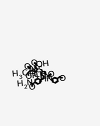 C[C@@H](O)[C@H]1C(=O)N2C(C(=O)O)=C(S[C@H]3C[C@@H](C(=O)Nc4cccc(C=O)c4)N(Cc4ccc(C(N)=O)cc4)C3)[C@H](C)[C@H]12